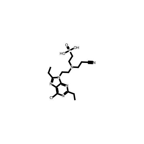 CCc1nc(Cl)c2nc(CC)n(CCN(CCC#N)CCP(=O)(O)O)c2n1